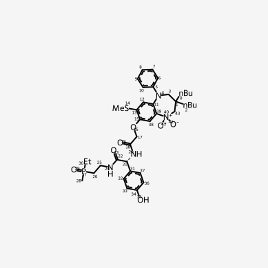 CCCCC1(CCCC)CN(c2ccccc2)c2cc(SC)c(OCC(=O)N[C@@H](C(=O)NCCP(C)(=O)CC)c3ccc(O)cc3)cc2[N+]([O-])([O-])C1